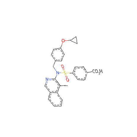 Cc1c(N(Cc2ccc(OC3CC3)cc2)S(=O)(=O)c2ccc(C(=O)O)cc2)ncc2ccccc12